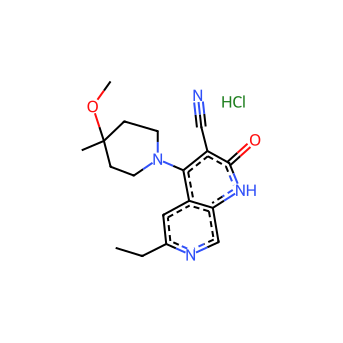 CCc1cc2c(N3CCC(C)(OC)CC3)c(C#N)c(=O)[nH]c2cn1.Cl